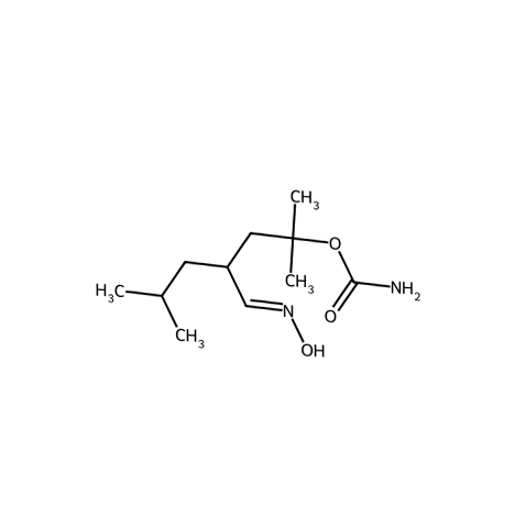 CC(C)CC(C=NO)CC(C)(C)OC(N)=O